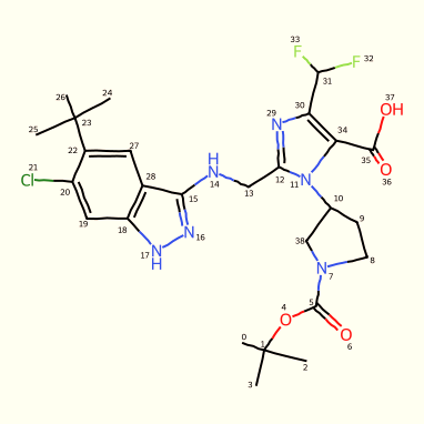 CC(C)(C)OC(=O)N1CCC(n2c(CNc3n[nH]c4cc(Cl)c(C(C)(C)C)cc34)nc(C(F)F)c2C(=O)O)C1